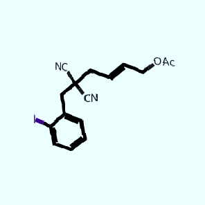 CC(=O)OCC=CCC(C#N)(C#N)Cc1ccccc1I